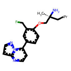 CC(C)C[C@](C)(N)COc1ccc(-c2ccnc3ccnn23)cc1CF